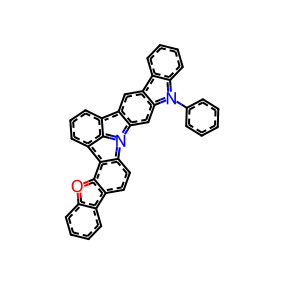 c1ccc(-n2c3ccccc3c3cc4c5cccc6c7c8oc9ccccc9c8ccc7n(c4cc32)c56)cc1